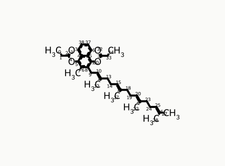 CCC(=O)Oc1c(C)c(C/C=C(\C)CC/C=C(\C)CC/C=C(\C)CCC=C(C)C)c(OC(=O)CC)c2ccccc12